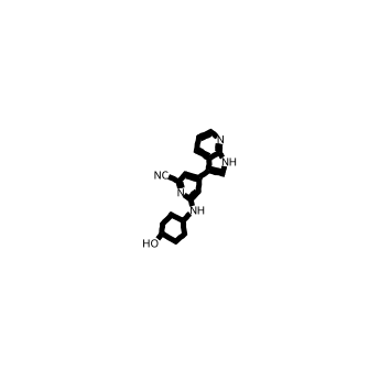 N#Cc1cc(-c2c[nH]c3ncccc23)cc(NC2CCC(O)CC2)n1